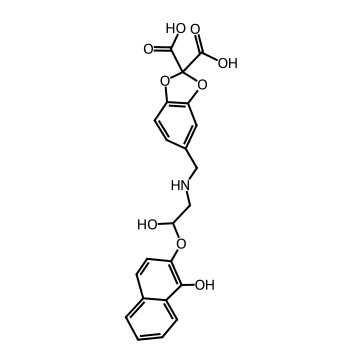 O=C(O)C1(C(=O)O)Oc2ccc(CNCC(O)Oc3ccc4ccccc4c3O)cc2O1